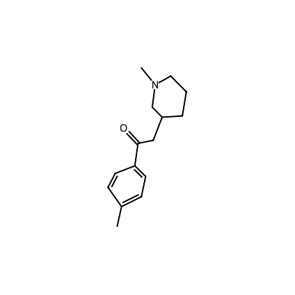 Cc1ccc(C(=O)CC2CCCN(C)C2)cc1